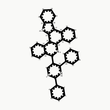 c1ccc(-c2ncc(-c3nc4c5ccccc5c5c6ccccc6sc5c4c4ccccc34)c(-c3ccccc3)n2)cc1